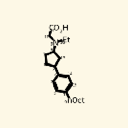 CCCCCCCCc1ccc(C2CCC(N(CC)CC(=O)O)C2)cc1